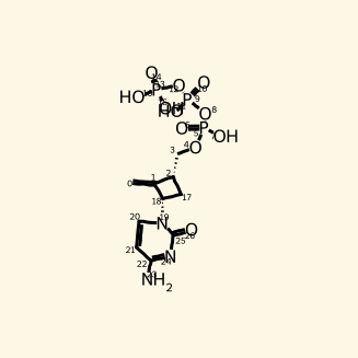 C=C1[C@H](COP(=O)(O)OP(=O)(O)OP(=O)(O)O)C[C@@H]1n1ccc(N)nc1=O